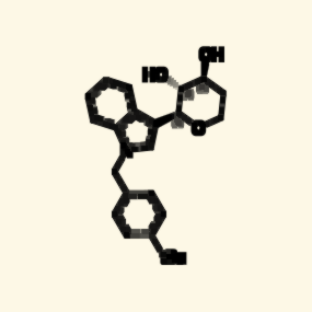 CC(C)(C)c1ccc(Cn2cc([C@@H]3OCC[C@H](O)[C@H]3O)c3ccccc32)cc1